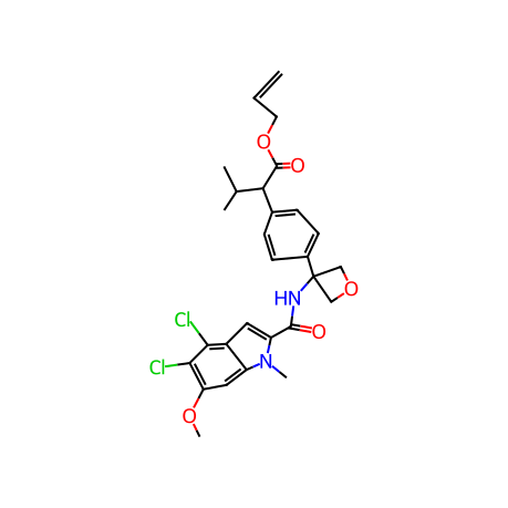 C=CCOC(=O)C(c1ccc(C2(NC(=O)c3cc4c(Cl)c(Cl)c(OC)cc4n3C)COC2)cc1)C(C)C